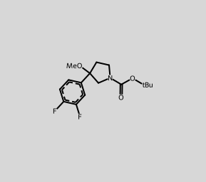 COC1(c2ccc(F)c(F)c2)CCN(C(=O)OC(C)(C)C)C1